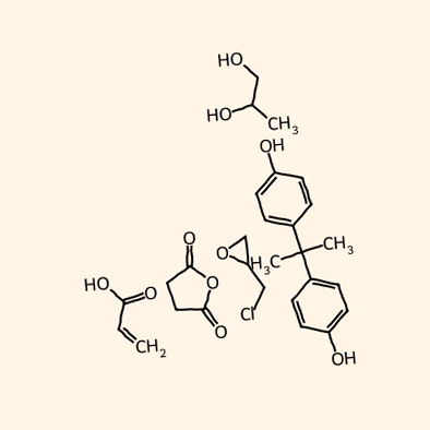 C=CC(=O)O.CC(C)(c1ccc(O)cc1)c1ccc(O)cc1.CC(O)CO.ClCC1CO1.O=C1CCC(=O)O1